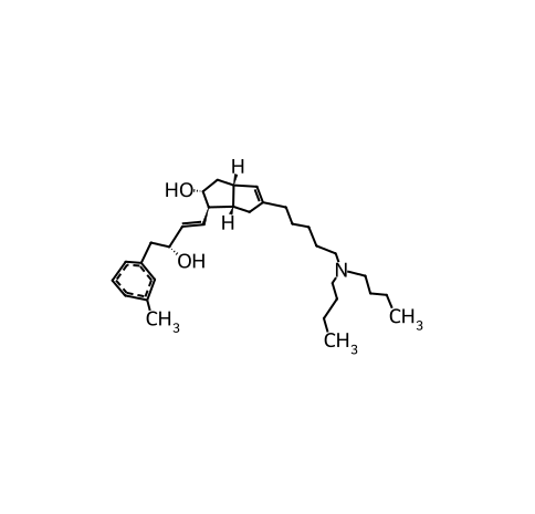 CCCCN(CCCC)CCCCCC1=C[C@H]2C[C@@H](O)[C@H](/C=C/[C@H](O)Cc3cccc(C)c3)[C@H]2C1